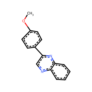 COc1ccc(-c2cnc3c[c]ccc3n2)cc1